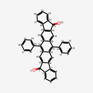 O=c1c2ccccc2c2cc3c(-c4ccccc4)c4cc5c(=O)c6ccccc6c5cc4c(-c4ccccc4)c3cc12